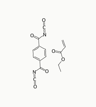 C=CC(=O)OCC.O=C=NC(=O)c1ccc(C(=O)N=C=O)cc1